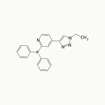 CCn1cc(-c2ccnc(P(c3ccccc3)c3ccccc3)c2)nn1